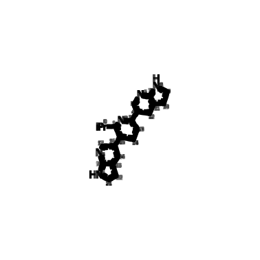 CC(C)c1nc(-c2cnc3[nH]ccc3c2)ccc1-c1cnc2[nH]ccc2c1